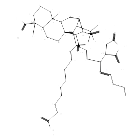 CCC/C=C/C(CCC(CCCCCCCCC(=O)O)C1C(C(C)C)C2CC3C4(C)CCCC(C)(C(=O)O)C4CCC13C1C(=O)OC(=O)C21)C1CC(=O)OC1=O